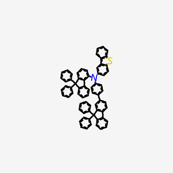 c1ccc(C2(c3ccccc3)c3ccccc3-c3ccc(-c4ccc(N(c5ccc6sc7ccccc7c6c5)c5cccc6c5-c5ccccc5C6(c5ccccc5)c5ccccc5)cc4)cc32)cc1